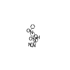 O=C(c1ccccc1)N1CCC2(CC1)O[C@@H]1CC[C@@H](c3cnccn3)N1C2=O